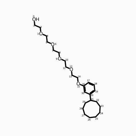 OCCOCCOCCOCCOCCOc1cccc(C2CCCCCCCC2)c1